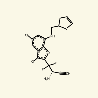 C#C[C@H](N)C(F)(F)c1sc2c(NCC3CC=CS3)cc(Cl)nc2c1Cl